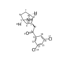 O=C(C[C@H]1C[C@H]2CC[C@@H](C1)N2)c1cc(Cl)cc(Cl)c1